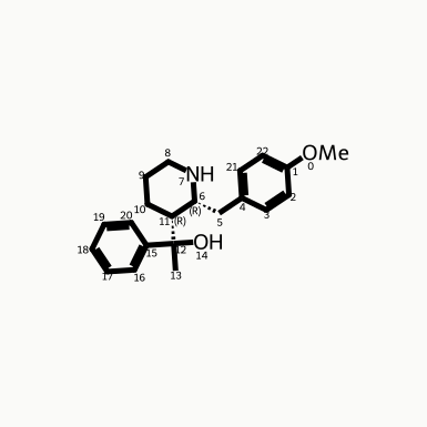 COc1ccc(C[C@H]2NCCC[C@H]2C(C)(O)c2ccccc2)cc1